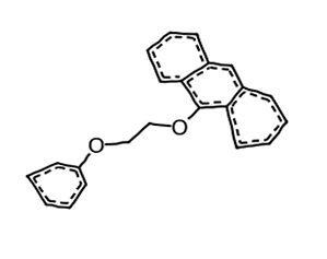 c1ccc(OCCOc2c3ccccc3cc3ccccc23)cc1